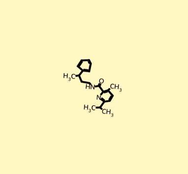 Cc1ccc(C(C)C)nc1C(=O)NCCC(C)c1ccccc1